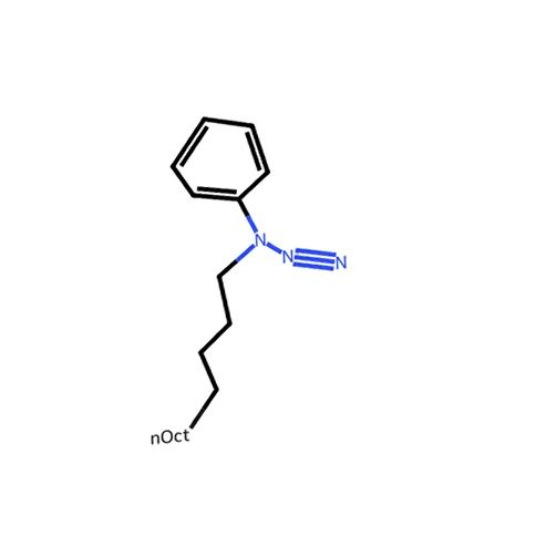 CCCCCCCCCCCCN([N+]#N)c1ccccc1